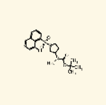 CN(C(=O)OC(C)(C)C)C1CCN(S(=O)(=O)c2cccc3cncc(Cl)c23)C1